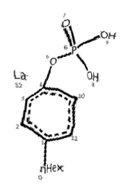 CCCCCCc1ccc(OP(=O)(O)O)cc1.[La]